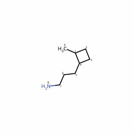 CC1CCC1CCCN